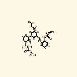 C[C@@H](NC(=O)OC(C)(C)C)c1cccc(-c2cc(COc3ccccc3CC(=O)OC(C)(C)C)cc(N(C)CCF)c2)c1F